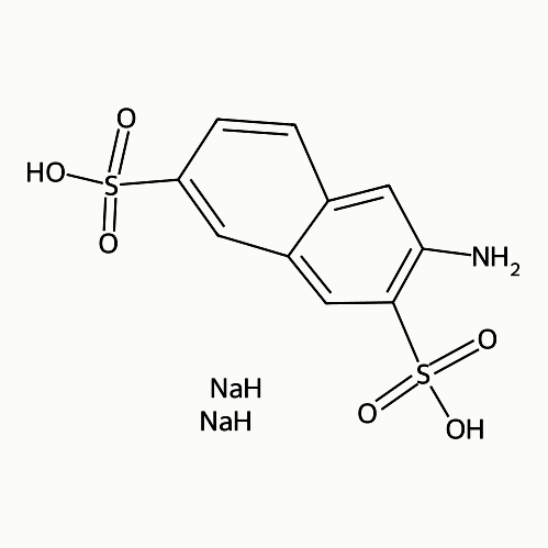 Nc1cc2ccc(S(=O)(=O)O)cc2cc1S(=O)(=O)O.[NaH].[NaH]